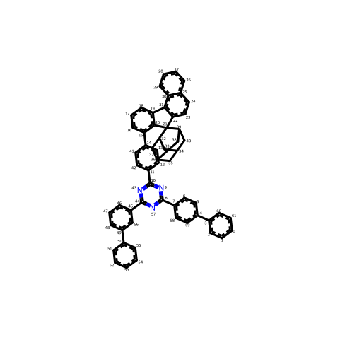 c1ccc(-c2ccc(-c3nc(-c4ccc(-c5cccc6c5C5(c7ccc8ccccc8c7-6)C6CC7CC(C6)CC5C7)cc4)nc(-c4cccc(-c5ccccc5)c4)n3)cc2)cc1